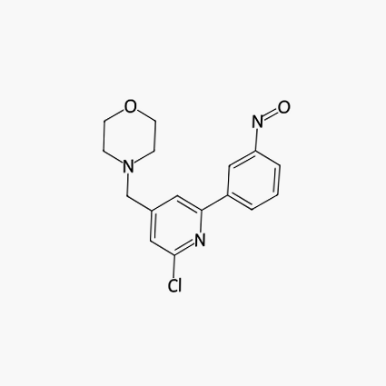 O=Nc1cccc(-c2cc(CN3CCOCC3)cc(Cl)n2)c1